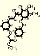 COC(=O)COc1cccc(/C=C/C(=O)c2c(OCc3ccccc3)cc(C)n(C)c2=O)c1